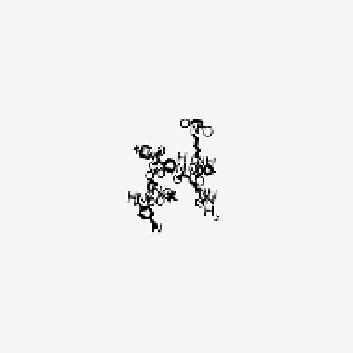 CC(NC(=O)[C@@H]1C[C@@H](OC(=O)OC(C(=O)N2CCN(C)CC2)c2ccc(NC(=O)C(CCCNC(N)=O)NC(=O)C3(C(=O)NCCCCCN4C(=O)C=CC4=O)CCC3)cc2)CN1C(=O)OC(C)(C)C)c1ccc(C#N)cc1